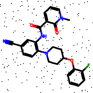 Cn1cccc(C(=O)Nc2cc(C#N)ccc2N2CCC(Oc3ccccc3F)CC2)c1=O